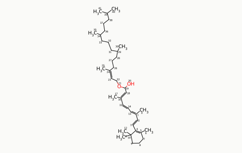 CC(C=CC1=C(C)CCCC1(C)C)=CC=CC(C)=CC(O)OCC=C(C)CCCC(C)CCCC(C)CCCC(C)C